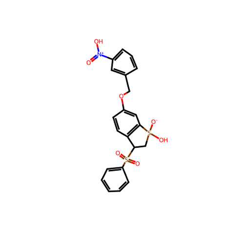 O=[N+](O)c1cccc(COc2ccc3c(c2)S([O-])(O)CC3S(=O)(=O)c2ccccc2)c1